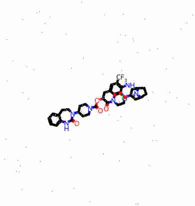 CN1C2CCC1CC(N1CCN(C(=O)C(Cc3cc(Cl)c(N)c(C(F)(F)F)c3)OC(=O)N3CCC(N4CCc5ccccc5NC4=O)CC3)CC1)C2